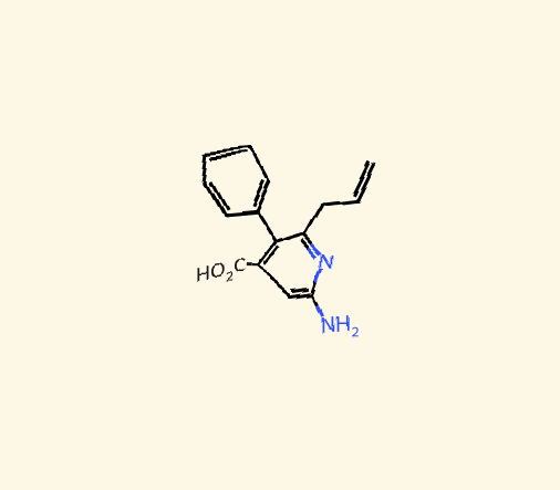 C=CCc1nc(N)cc(C(=O)O)c1-c1ccccc1